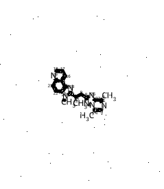 Cc1ncc(C)n2nc(C[C@H](C)c3nc4c5cccnc5ccc4n3C)nc12